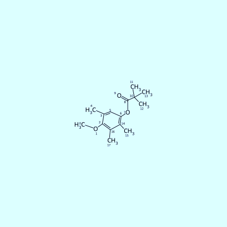 COc1c(C)cc(OC(=O)C(C)(C)C)c(C)c1C